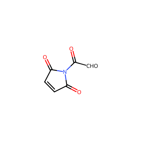 O=CC(=O)N1C(=O)C=CC1=O